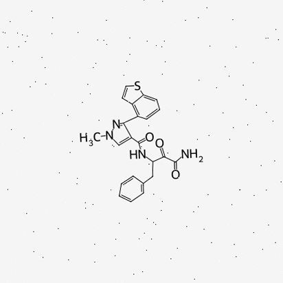 Cn1cc(C(=O)NC(Cc2ccccc2)C(=O)C(N)=O)c(-c2cccc3sccc23)n1